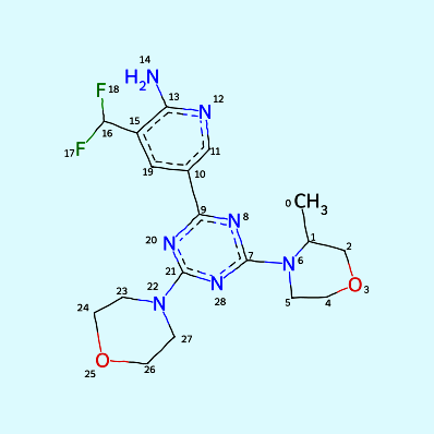 CC1COCCN1c1nc(-c2cnc(N)c(C(F)F)c2)nc(N2CCOCC2)n1